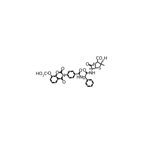 CC1(C)SC2[C@H](NC(=O)[C@H](NC(=O)c3ccc(-n4c(=O)oc5c(OC(=O)O)cccc5c4=O)cc3)c3ccccc3)C(=O)N2C1C(=O)O